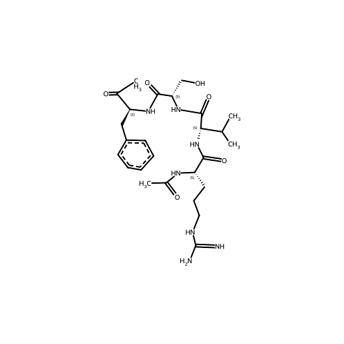 CC(=O)N[C@@H](CCCNC(=N)N)C(=O)N[C@H](C(=O)N[C@@H](CO)C(=O)N[C@@H](Cc1ccccc1)C(C)=O)C(C)C